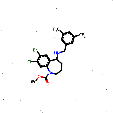 CC(C)OC(=O)N1CCCC(NCc2cc(C(F)(F)F)cc(C(F)(F)F)c2)c2cc(Br)c(Cl)cc21